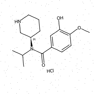 COc1ccc(C(=O)N(C(C)C)[C@@H]2CCCNC2)cc1O.Cl